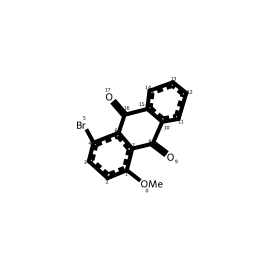 COc1ccc(Br)c2c1C(=O)c1ccccc1C2=O